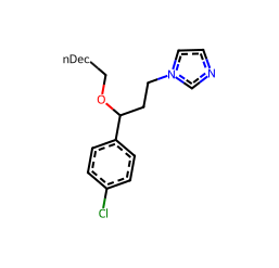 CCCCCCCCCCCOC(CCn1ccnc1)c1ccc(Cl)cc1